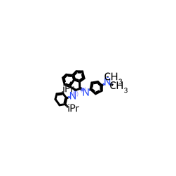 CC(C)C1=CCCC(C(C)C)=C1/N=C1/C(=N/c2ccc(N(C)C)cc2)c2cccc3cccc1c23